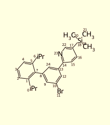 CC(C)c1cccc(C(C)C)c1-c1cc(Br)cc(-c2ccc([Si](C)(C)C)cn2)c1